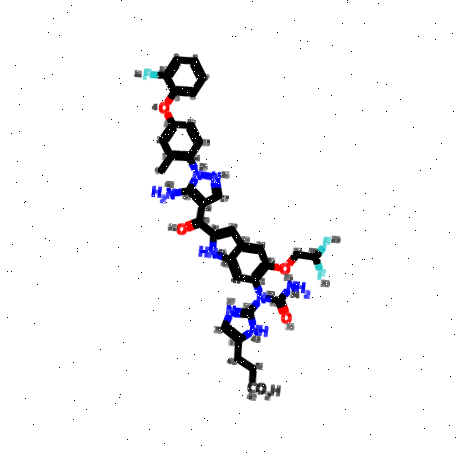 Cc1cc(Oc2ccccc2F)ccc1-n1ncc(C(=O)c2cc3cc(OCC(F)F)c(N(C(N)=O)c4ncc(CCC(=O)O)[nH]4)cc3[nH]2)c1N